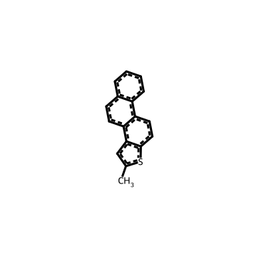 Cc1cc2c(ccc3c4ccccc4ccc23)s1